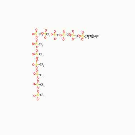 O=S(=O)([O-])C(F)(F)F.O=S(=O)([O-])C(F)(F)F.O=S(=O)([O-])C(F)(F)F.O=S(=O)([O-])C(F)(F)F.O=S(=O)([O-])C(F)(F)F.O=S(=O)([O-])C(F)(F)F.O=S(=O)([O-])C(F)(F)F.O=S(=O)([O-])C(F)(F)F.O=S(=O)([O-])C(F)(F)F.O=S(=O)([O-])C(F)(F)F.O=S(=O)([O-])C(F)(F)F.O=S(=O)([O-])C(F)(F)F.[Al+3].[Al+3].[Al+3].[Al+3]